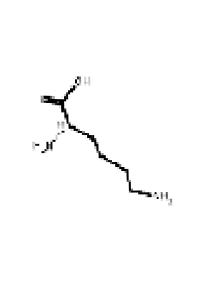 C=C(O)[C@@H](N)CCCCN